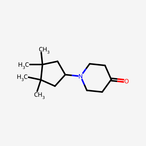 CC1(C)CC(N2CCC(=O)CC2)CC1(C)C